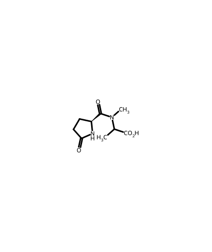 CC(C(=O)O)N(C)C(=O)[C@@H]1CCC(=O)N1